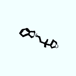 CC(C)(CCN1Cc2ccccc2C1)C1=CCOC1